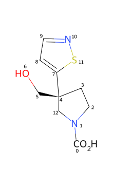 O=C(O)N1CC[C@@](CO)(c2ccns2)C1